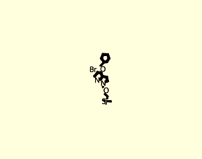 C[Si](C)(C)CCOCn1ccc2c(OCc3ccccc3)c(Br)cnc21